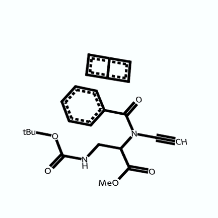 C#CN(C(=O)c1ccccc1)C(CNC(=O)OC(C)(C)C)C(=O)OC.c1cc2ccc1-2